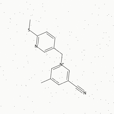 CSc1ccc(C[n+]2cc(C)cc(C#N)c2)cn1